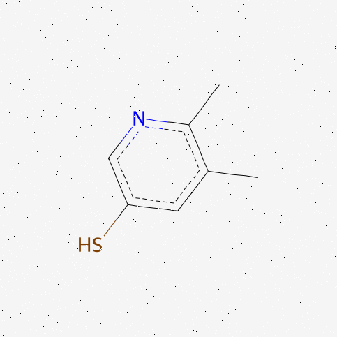 Cc1cc(S)cnc1C